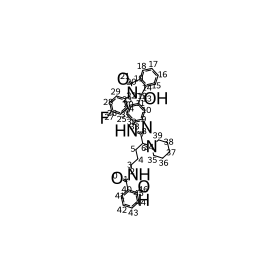 O=C(NCCCC(c1nc2cc(C3(O)c4ccccc4C(=O)N3c3ccc(F)cc3)ccc2[nH]1)N1CCCCC1)c1ccccc1O